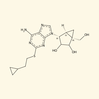 Nc1nc(SCCC2CC2)nc2c1ncn2[C@H]1C(O)C(O)[C@]2(CO)C[C@H]12